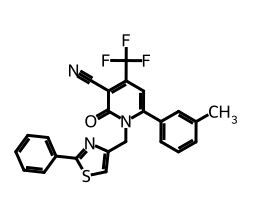 Cc1cccc(-c2cc(C(F)(F)F)c(C#N)c(=O)n2Cc2csc(-c3ccccc3)n2)c1